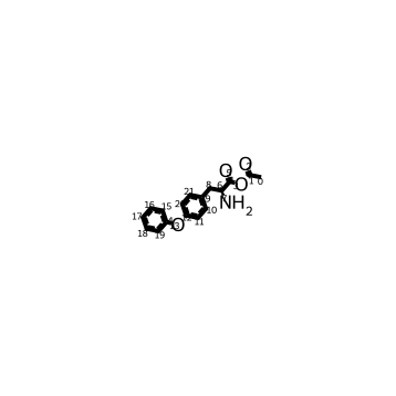 CC(=O)OC(=O)[C@@H](N)Cc1ccc(Oc2ccccc2)cc1